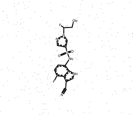 N#Cc1c[nH]c2c(NS(=O)(=O)c3cnn(C(F)CO)c3)ccc(F)c12